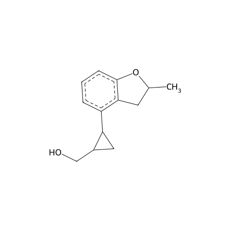 CC1Cc2c(cccc2C2CC2CO)O1